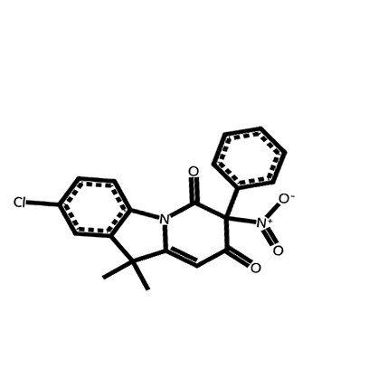 CC1(C)C2=CC(=O)C(c3ccccc3)([N+](=O)[O-])C(=O)N2c2ccc(Cl)cc21